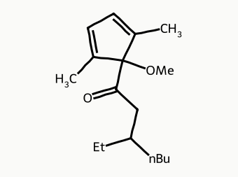 CCCCC(CC)CC(=O)C1(OC)C(C)=CC=C1C